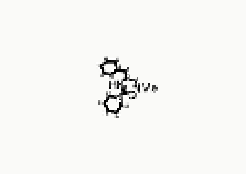 CNC[C@H](CC1CCCCC1)NC(=O)N1CCCCC1